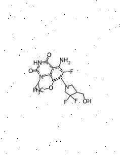 COc1c(N2CC(CO)C(F)(F)C2)c(F)c(N)c2c(=O)[nH]c(=O)n(C3CC3)c12